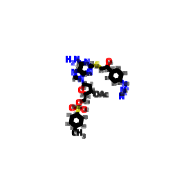 CC(=O)O[C@@H]1C[C@H](n2cnc3c(N)nc(SCC(=O)c4ccc(N=[N+]=[N-])cc4)nc32)O[C@@H]1COS(=O)(=O)c1ccc(C)cc1